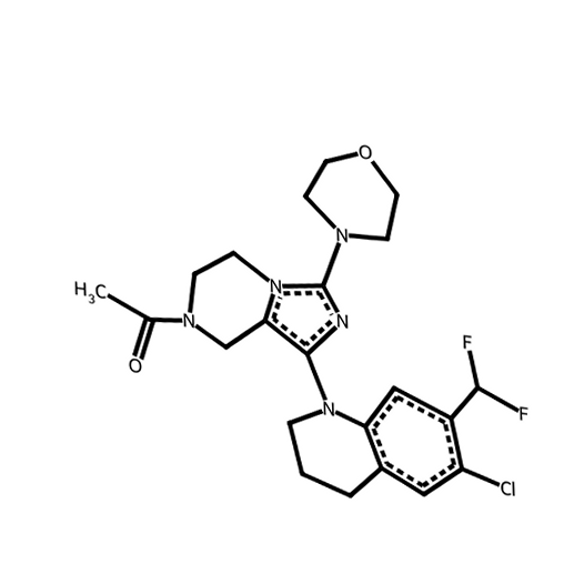 CC(=O)N1CCn2c(N3CCOCC3)nc(N3CCCc4cc(Cl)c(C(F)F)cc43)c2C1